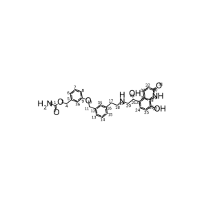 NC(=O)OCc1cccc(OCc2cccc(CCNC[C@H](O)c3ccc(O)c4[nH]c(=O)ccc34)c2)c1